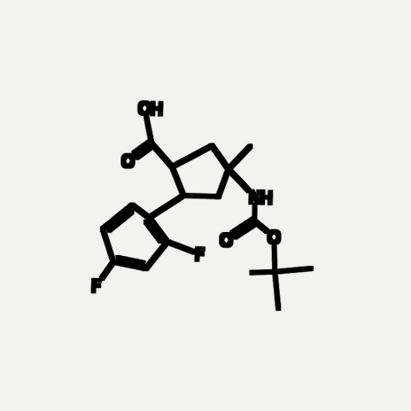 CC1(NC(=O)OC(C)(C)C)CC(C(=O)O)C(c2ccc(F)cc2F)C1